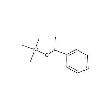 CC(O[N+](C)(C)C)c1ccccc1